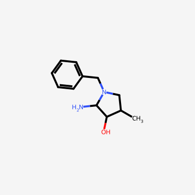 CC1CN(Cc2ccccc2)C(N)C1O